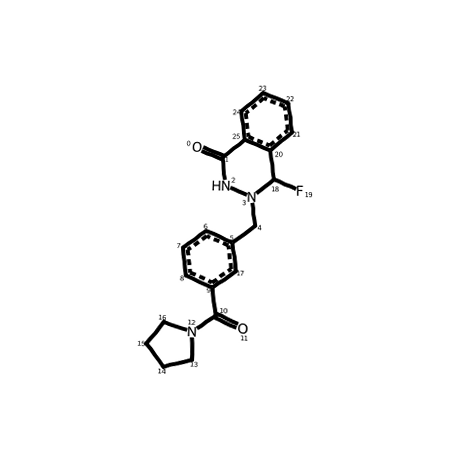 O=C1NN(Cc2cccc(C(=O)N3CCCC3)c2)C(F)c2ccccc21